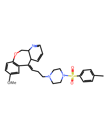 COc1ccc2c(c1)/C(=C/CCN1CCN(S(=O)(=O)c3ccc(C)cc3)CC1)C1C=CC=NC1CO2